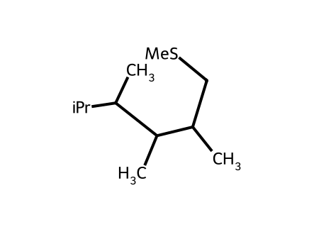 CSCC(C)C(C)C(C)C(C)C